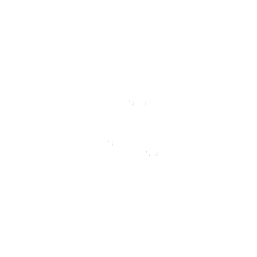 O.O=[NH+][O-].[NaH].[NaH]